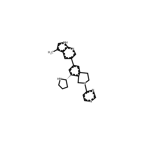 Cc1c[nH]c2ncc(-c3cc4c(c([C@@H]5CCCN5)c3)CN(c3ccncn3)CC4)cc12